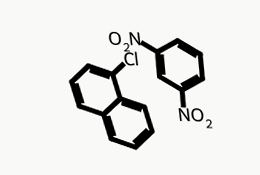 Clc1cccc2ccccc12.O=[N+]([O-])c1cccc([N+](=O)[O-])c1